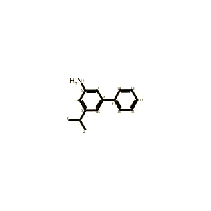 CC(C)c1cc(N)cc(-c2ccccc2)c1